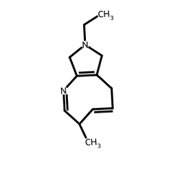 CCN1CC2=C(C1)/N=C\C(C)/C=C/C2